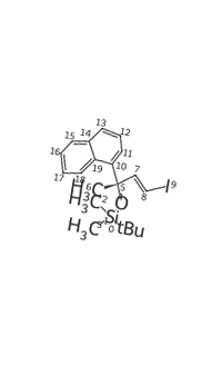 CC(C)(C)[Si](C)(C)O[C@@](C)(C=CI)c1cccc2ccccc12